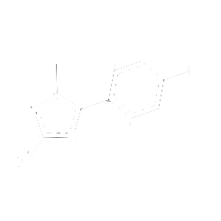 Cc1nc(Br)sc1-c1ccc(F)cc1